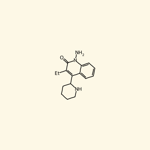 CCc1c(C2CCCCN2)c2ccccc2n(N)c1=O